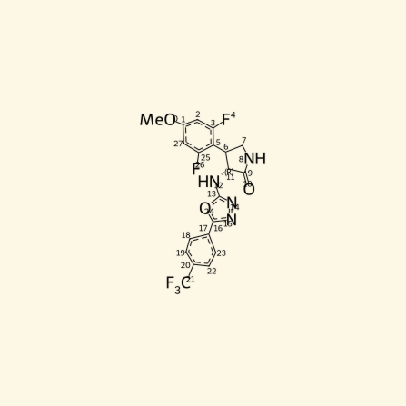 COc1cc(F)c(C2CNC(=O)[C@@H]2Nc2nnc(-c3ccc(C(F)(F)F)cc3)o2)c(F)c1